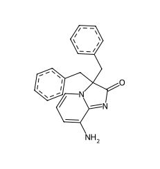 NC1=CC=CN2C1=NC(=O)C2(Cc1ccccc1)Cc1ccccc1